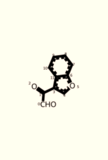 O=CC(=O)c1coc2ccccc12